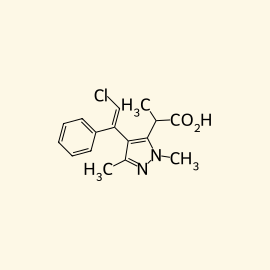 Cc1nn(C)c(C(C)C(=O)O)c1C(=CCl)c1ccccc1